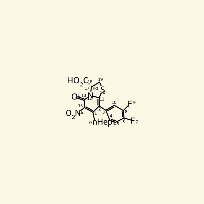 CCCCCCCc1c(-c2ccc(F)c(F)c2)c2n(c(=O)c1[N+](=O)[O-])[C@H](C(=O)O)CS2